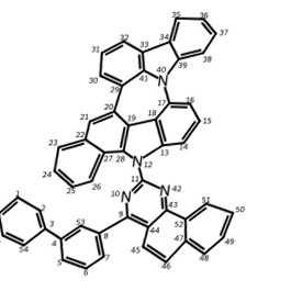 c1ccc(-c2cccc(-c3nc(-n4c5cccc6c5c5c(cc7ccccc7c54)c4cccc5c7ccccc7n6c45)nc4c3ccc3ccccc34)c2)cc1